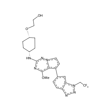 COc1nc(N[C@H]2CC[C@@H](OCCO)CC2)nn2ccc(-c3ccc4nnn(CC(F)(F)F)c4c3)c12